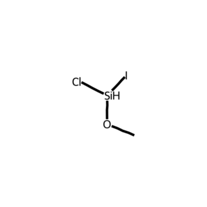 CO[SiH](Cl)I